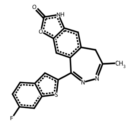 CC1=NN=C(c2cc3ccc(F)cc3s2)c2cc3oc(=O)[nH]c3cc2C1